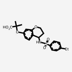 CCc1ccc(S(=O)(=O)NC2CCOc3cc(OC(C)(C)C(=O)O)ccc32)cc1